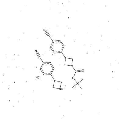 CC(C)(C)OC(=O)N1CC(c2ccc(C#N)cc2)C1.Cl.N#Cc1ccc(C2CNC2)cc1